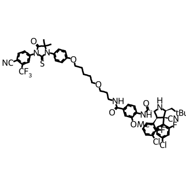 COc1cc(C(=O)NCCCOCCCCCOc2ccc(N3C(=S)N(c4ccc(C#N)c(C(F)(F)F)c4)C(=O)C3(C)C)cc2)ccc1NC(=O)[C@@H]1N[C@@H](CC(C)(C)C)[C@](C#N)(c2ccc(Cl)cc2F)[C@H]1c1cccc(Cl)c1F